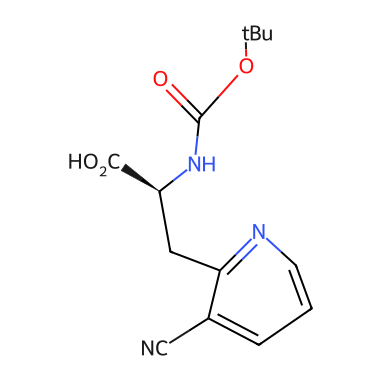 CC(C)(C)OC(=O)N[C@@H](Cc1ncccc1C#N)C(=O)O